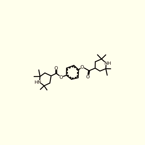 CC1(C)CC(C(=O)Oc2ccc(OC(=O)C3CC(C)(C)NC(C)(C)C3)cc2)CC(C)(C)N1